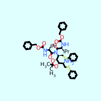 CC(C)[C@H](NC(=O)OCc1ccccc1)C(=O)N(C(=O)[C@@H](NC(=O)OCc1ccccc1)C(C)C)[C@@H](CSc1ccccc1)[C@H]1OC(C)(C)O[C@@H]1[C@@H](N)CSc1ccccc1